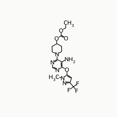 CCOC(=O)OC1CCN(c2ncnc(Oc3cc(C(F)(F)F)nn3C)c2N)CC1